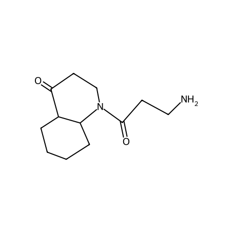 NCCC(=O)N1CCC(=O)C2CCCCC21